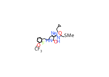 CSCC(=O)Nc1c2c(nn1CCC1CC1)CC(CCc1cccc(OCC(F)(F)F)c1F)NC2=O